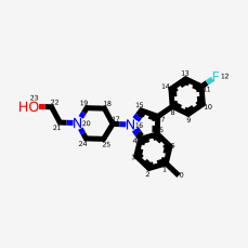 Cc1ccc2c(c1)c(-c1ccc(F)cc1)cn2C1CCN(CCO)CC1